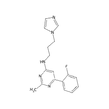 Cc1nc(NCCCn2ccnc2)cc(-c2ccccc2F)n1